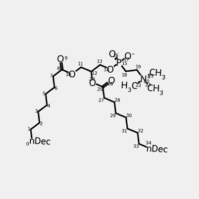 CCCCCCCCCCCCCCCCCC(=O)OCC(COP(=O)([O-])CC[N+](C)(C)C)OC(=O)CCCCCCCCCCCCCCCCC